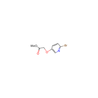 COC(=O)COc1ccc(Br)nc1